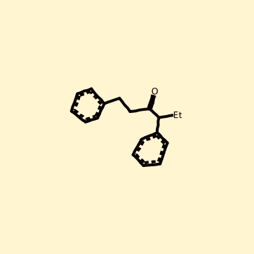 [CH2]CC(C(=O)CCc1ccccc1)c1ccccc1